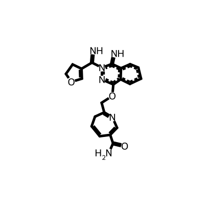 N=C(C1=COCC1)n1nc(OCC2=NC=C(C(N)=O)C=CC2)c2ccccc2c1=N